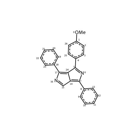 COc1ccc(C2=NC(c3ccccc3)=C3C=NC(c4ccccc4)=C23)cc1